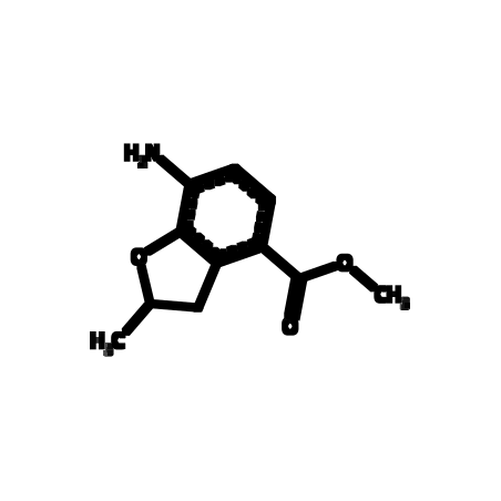 COC(=O)c1ccc(N)c2c1CC(C)O2